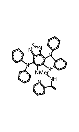 C=C(NCN(C)c1c(NC)c(N(c2ccccc2)c2ccccc2)c2nsnc2c1N(c1ccccc1)c1ccccc1)c1ccccn1